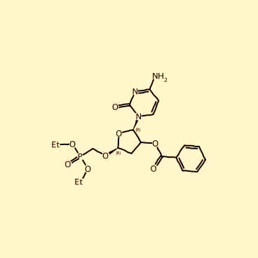 CCOP(=O)(CO[C@@H]1CC(OC(=O)c2ccccc2)[C@H](n2ccc(N)nc2=O)O1)OCC